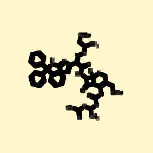 COCC1=C(OC(=O)OC(C)OC(=O)C(C)(C)C)N2C(=O)C(NC(=O)/C(=N\OC(C)COC)c3csc(NC(c4ccccc4)(c4ccccc4)c4ccccc4)n3)[C@@H]2SC1